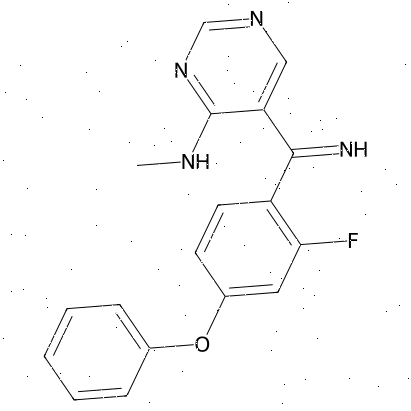 CNc1ncncc1C(=N)c1ccc(Oc2ccccc2)cc1F